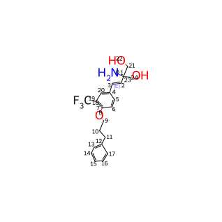 NC(/C=C/c1ccc(OCCCc2ccccc2)c(C(F)(F)F)c1)(CO)CO